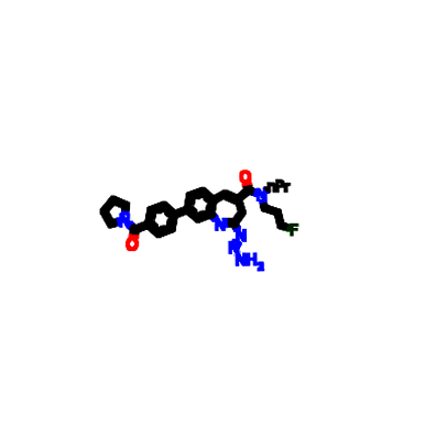 CCCN(CCCF)C(=O)C1=Cc2ccc(-c3ccc(C(=O)N4CCCC4)cc3)cc2N=C(N=NN)C1